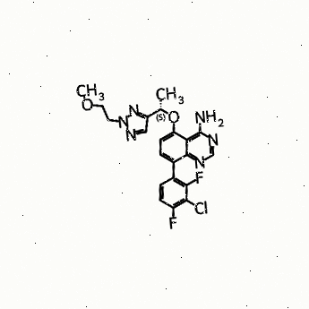 COCCn1ncc([C@H](C)Oc2ccc(-c3ccc(F)c(Cl)c3F)c3ncnc(N)c23)n1